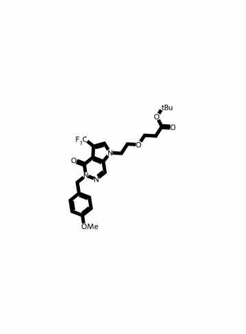 COc1ccc(Cn2ncc3c(c(C(F)(F)F)cn3CCOCCC(=O)OC(C)(C)C)c2=O)cc1